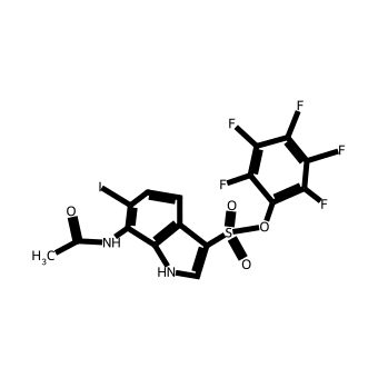 CC(=O)Nc1c(I)ccc2c(S(=O)(=O)Oc3c(F)c(F)c(F)c(F)c3F)c[nH]c12